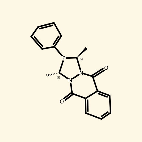 C[C@H]1n2c(=O)c3ccccc3c(=O)n2[C@H](C)P1c1ccccc1